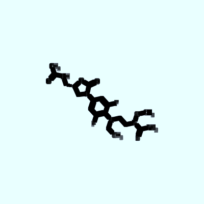 CCN(CCN(OC)C(N)=S)c1c(F)cc(N2C[C@H](CNC(C)=O)OC2=O)cc1F